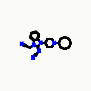 N#CCn1/c(=N\C#N)n(C2CCN(C3CCCCCCC3)CC2)c2ccccc21